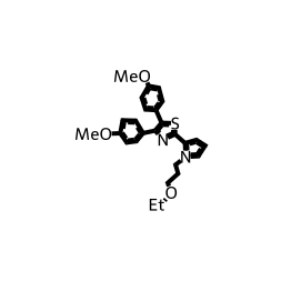 CCOCCCn1cccc1-c1nc(-c2ccc(OC)cc2)c(-c2ccc(OC)cc2)s1